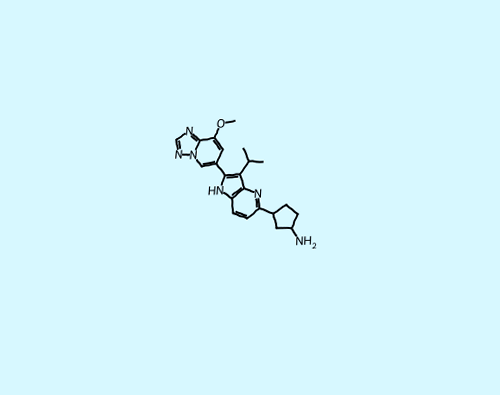 COc1cc(-c2[nH]c3ccc(C4CCC(N)C4)nc3c2C(C)C)cn2ncnc12